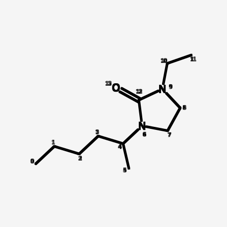 CCCCC(C)N1CCN(CC)C1=O